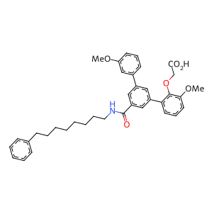 COc1cccc(-c2cc(C(=O)NCCCCCCCCc3ccccc3)cc(-c3cccc(OC)c3OCC(=O)O)c2)c1